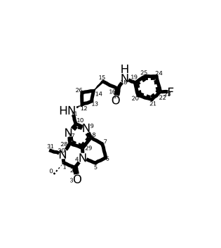 C[C@H]1C(=O)N2CCCc3nc(N[C@H]4C[C@H](CC(=O)Nc5ccc(F)cc5)C4)nc(c32)N1C